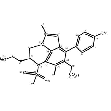 COCC[C@H]1Cn2c(C)cc3c(-c4ccc(Cl)cc4)c(CC(=O)O)c(C)c(c32)N1S(C)(=O)=O